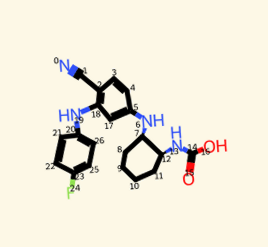 N#Cc1ccc(N[C@@H]2CCCC[C@@H]2NC(=O)O)cc1Nc1ccc(F)cc1